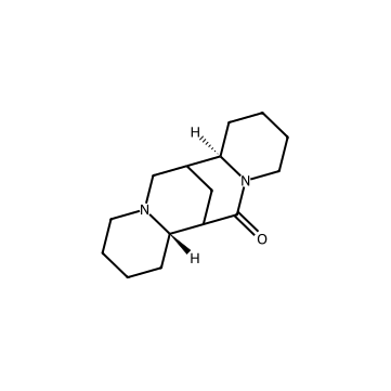 O=C1C2CC(CN3CCCC[C@@H]23)[C@H]2CCCCN12